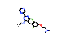 CN(C)CCOc1cc(F)c(Cc2c(Cl)nc(-c3cnccn3)nc2NCC(F)(F)F)c(F)c1